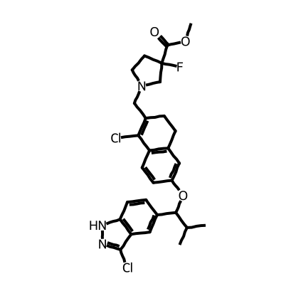 COC(=O)C1(F)CCN(CC2=C(Cl)c3ccc(OC(c4ccc5[nH]nc(Cl)c5c4)C(C)C)cc3CC2)C1